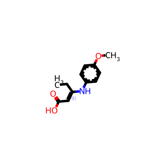 CC/C(=C\C(=O)O)Nc1ccc(OC)cc1